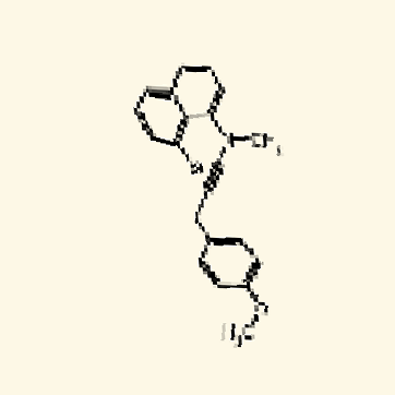 COc1ccc(CC#CN(C)c2cccc3cccc(Br)c23)cc1